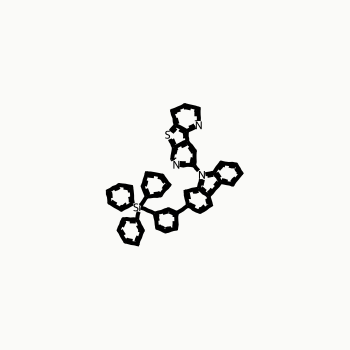 c1ccc([Si](c2ccccc2)(c2ccccc2)c2cccc(-c3ccc4c5ccccc5n(-c5cc6c(cn5)sc5cccnc56)c4c3)c2)cc1